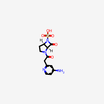 Nc1ccnc(CC(=O)N2CC[C@@H]3[C@H]2C(=O)N3S(=O)(=O)O)c1